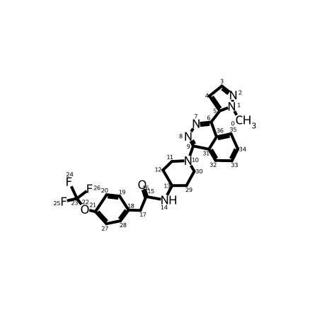 Cn1nccc1-c1nnc(N2CCC(NC(=O)Cc3ccc(OC(F)(F)F)cc3)CC2)c2ccccc12